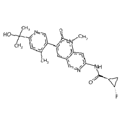 Cc1cc(C(C)(C)O)ncc1-c1cc2cnc(NC(=O)[C@H]3C[C@@H]3F)cc2n(C)c1=O